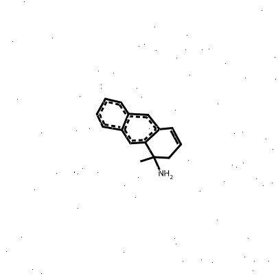 CC1(N)CC=Cc2cc3ccccc3cc21